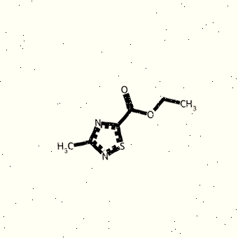 CCOC(=O)c1nc(C)ns1